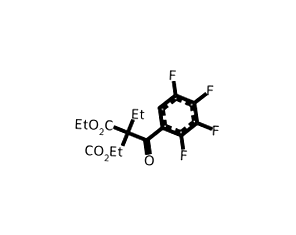 CCOC(=O)C(CC)(C(=O)OCC)C(=O)c1cc(F)c(F)c(F)c1F